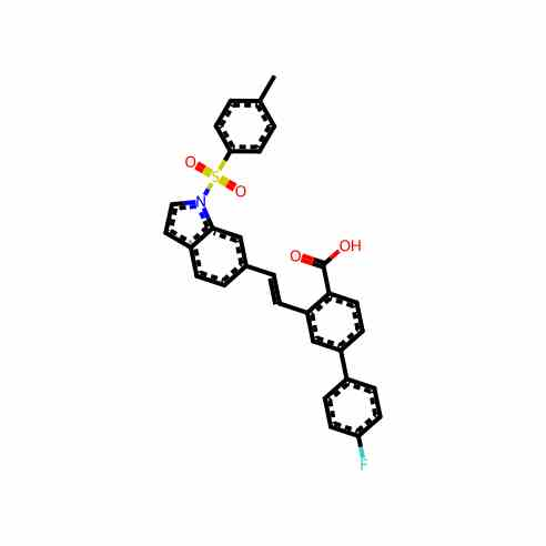 Cc1ccc(S(=O)(=O)n2ccc3ccc(/C=C/c4cc(-c5ccc(F)cc5)ccc4C(=O)O)cc32)cc1